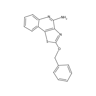 Nc1nc2ccccc2c2sc(OCc3ccccc3)nc12